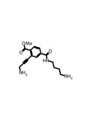 COC(=O)c1ccc(C(=O)NCCCCN)cc1C#CCN